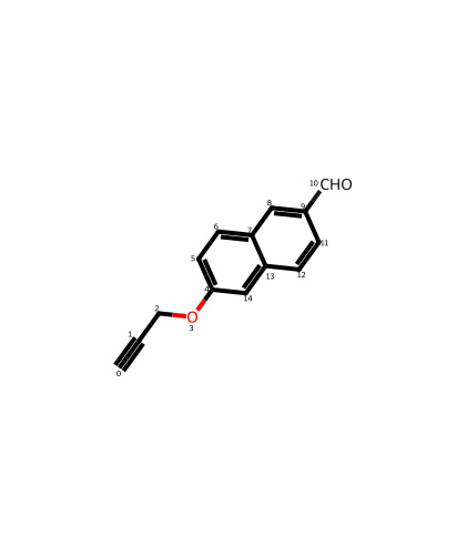 C#CCOc1ccc2cc(C=O)ccc2c1